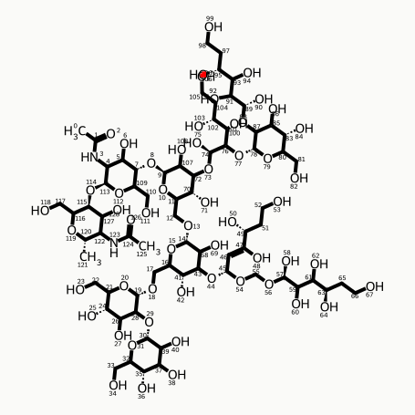 CC(=O)NC1C(O)[C@H](O[C@@H]2OC(CO[C@H]3OC(CO[C@H]4OC(CO)[C@@H](O)C(O)C4O[C@H]4OC(CO)[C@@H](O)C(O)C4O)[C@@H](O)C(O[C@H](/C=C(\O)[C@H](O)CCO)OCO[C@@H](O)C(O)C(O)[C@H](O)CCO)C3O)[C@@H](O)C(O[C@@H](O)C(O[C@H]3OC(CO)[C@@H](O)C(O)C3O[C@@H](O)C(O)C(O)[C@H](O)CCO)C(O)[C@H](O)CCO)C2O)C(CO)O[C@H]1O[C@@H]1C(CO)O[C@@H](C)C(NC(C)=O)C1O